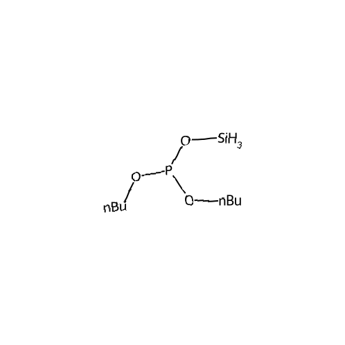 CCCCOP(O[SiH3])OCCCC